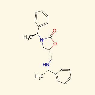 C[C@H](NC[C@@H]1CN([C@@H](C)c2ccccc2)C(=O)O1)c1ccccc1